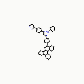 c1ccc(-c2nc(-c3ccc(-c4cccnc4)cc3)cc(-c3ccc(-c4cc5c6ccccc6c6ccccc6c5c5ccccc45)cc3)n2)cc1